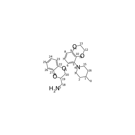 CC1CCN(c2cccc3c2OCCO3)CC1.NCC1COc2ccccc2O1